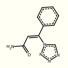 NC(=O)C=C(c1ccccc1)n1cnnn1